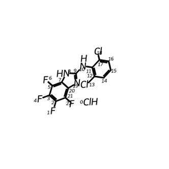 Cl.Fc1c(F)c(F)c2[nH]c(Nc3c(Cl)cccc3Cl)nc2c1F